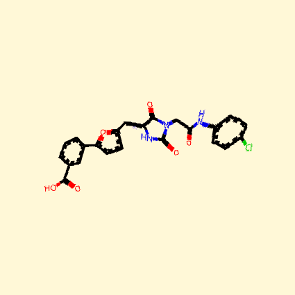 O=C(CN1C(=O)N/C(=C\c2ccc(-c3cccc(C(=O)O)c3)o2)C1=O)Nc1ccc(Cl)cc1